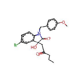 CCCC(=O)CC1(O)C(=O)N(Cc2ccc(OC)cc2)c2ccc(Br)cc21